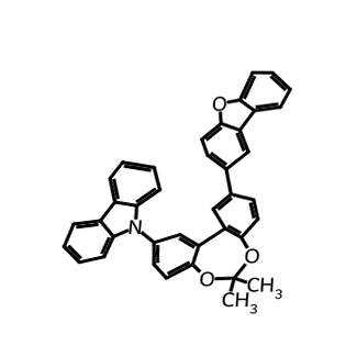 CC1(C)Oc2ccc(-c3ccc4oc5ccccc5c4c3)cc2-c2cc(-n3c4ccccc4c4ccccc43)ccc2O1